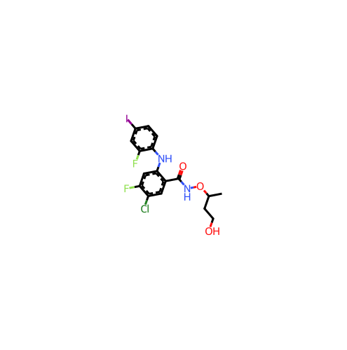 CC(CCO)ONC(=O)c1cc(Cl)c(F)cc1Nc1ccc(I)cc1F